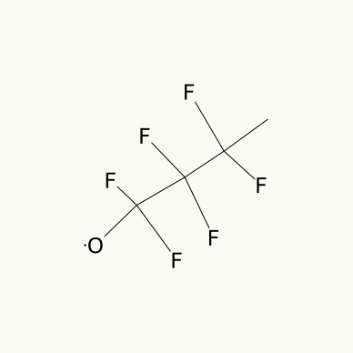 CC(F)(F)C(F)(F)C([O])(F)F